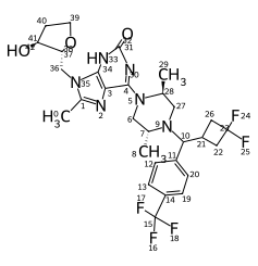 Cc1nc2c(N3C[C@@H](C)N(C(c4ccc(C(F)(F)F)cc4)C4CC(F)(F)C4)C[C@@H]3C)nc(=O)[nH]c2n1C[C@H]1OCC[C@@H]1O